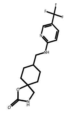 O=C1NCC2(CCC(CNc3ccc(C(F)(F)F)cn3)CC2)O1